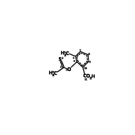 CC(=S)Oc1c(C)cccc1C(=O)O